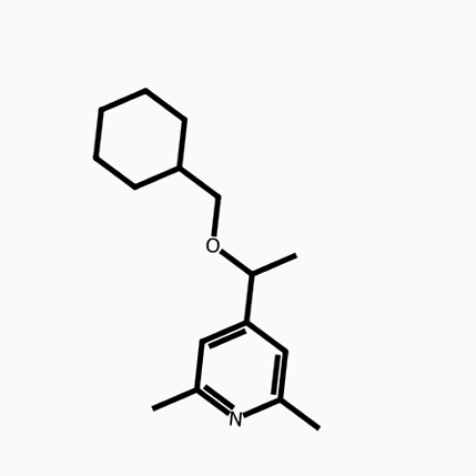 Cc1cc(C(C)OCC2CCCCC2)cc(C)n1